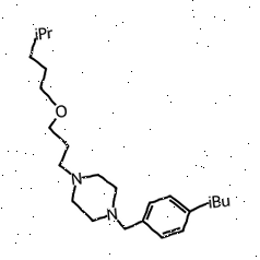 CCC(C)c1ccc(CN2CCN(CCCOCCCC(C)C)CC2)cc1